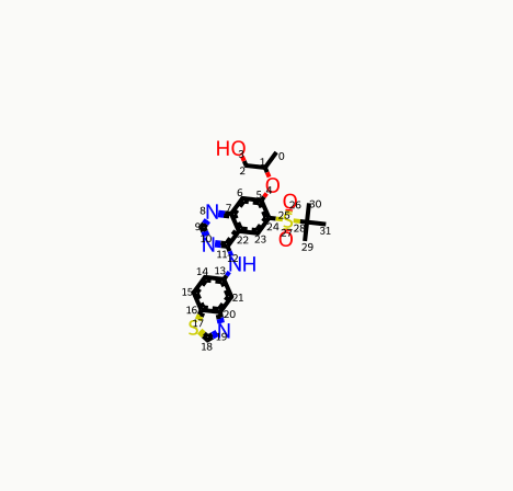 CC(CO)Oc1cc2ncnc(Nc3ccc4scnc4c3)c2cc1S(=O)(=O)C(C)(C)C